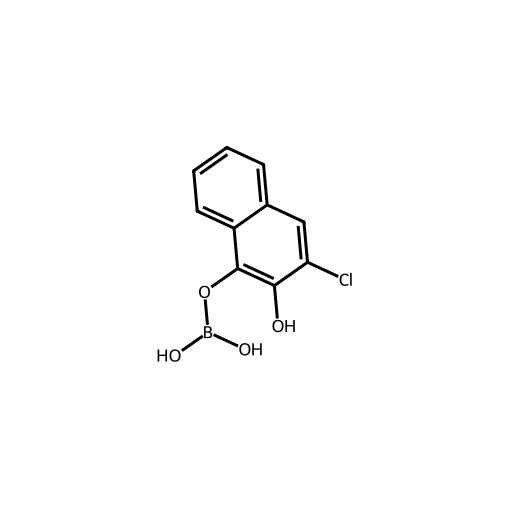 OB(O)Oc1c(O)c(Cl)cc2ccccc12